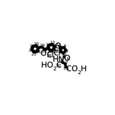 O=C(O)CCC(NC(=O)[C@H]1CC[C@H](Oc2ccc(C(=O)Cc3ccccc3)c(Cl)c2Cl)C1)C(=O)O